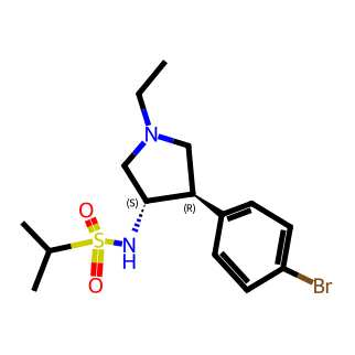 CCN1C[C@@H](NS(=O)(=O)C(C)C)[C@H](c2ccc(Br)cc2)C1